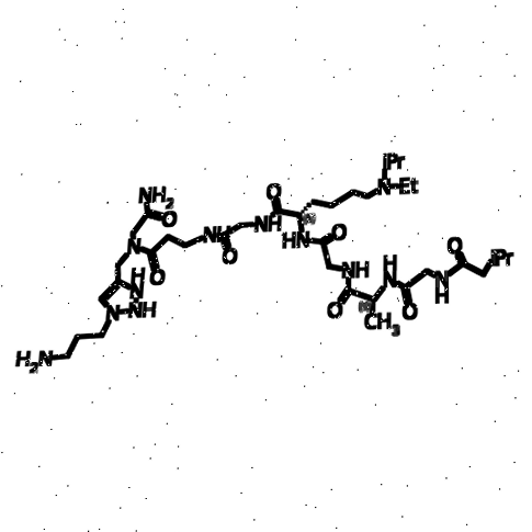 CCN(CCCC[C@H](NC(=O)CNC(=O)[C@H](C)NC(=O)CNC(=O)CC(C)C)C(=O)NCC(=O)NCCC(=O)N(CC(N)=O)CC1=CN(CCCN)NN1)C(C)C